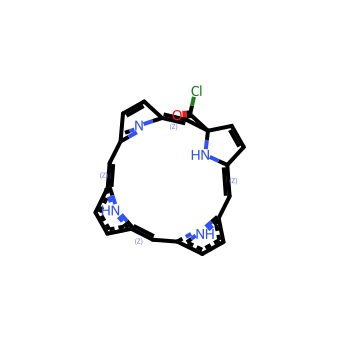 O=C(Cl)C12C=C/C(=C/c3ccc([nH]3)/C=c3/cc/c([nH]3)=C/C3=NC(=C\1)/C=C3)N2